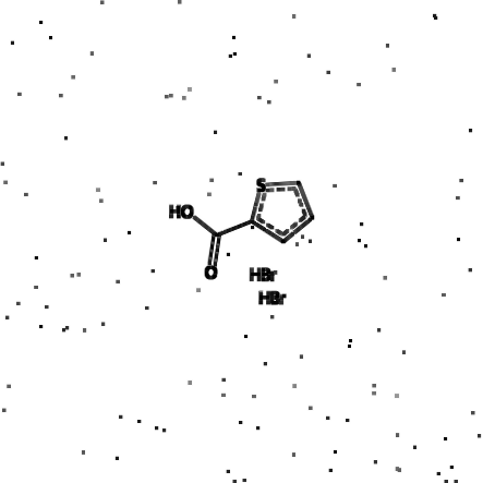 Br.Br.O=C(O)c1cccs1